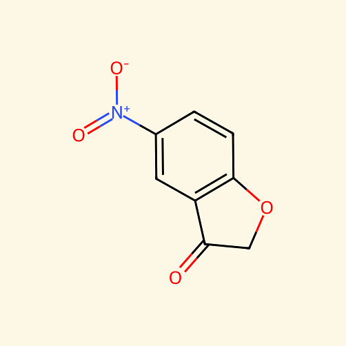 O=C1COc2ccc([N+](=O)[O-])cc21